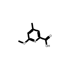 COc1cc(C)cc(C(=O)O)n1